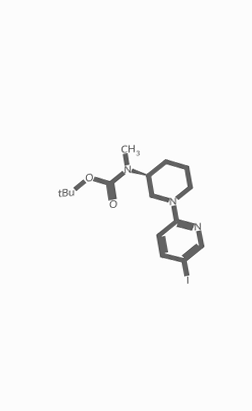 CN(C(=O)OC(C)(C)C)[C@H]1CCCN(c2ccc(I)cn2)C1